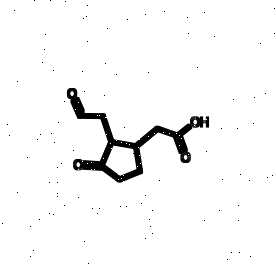 O=CCC1C(=O)CCC1CC(=O)O